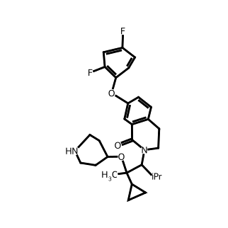 CC(C)C(N1CCc2ccc(Oc3ccc(F)cc3F)cc2C1=O)C(C)(OC1CCNCC1)C1CC1